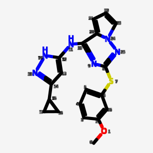 COc1cccc(Sc2nc(Nc3cc(C4CC4)n[nH]3)c3cccn3n2)c1